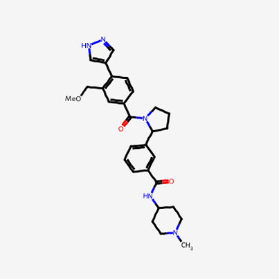 COCc1cc(C(=O)N2CCCC2c2cccc(C(=O)NC3CCN(C)CC3)c2)ccc1-c1cn[nH]c1